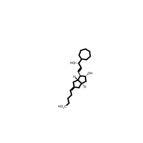 O=C(O)CCC/C=C1\C[C@@H]2C[C@@H](O)[C@H](/C=C/[C@H](O)C3CCCCCC3)[C@H]2C1